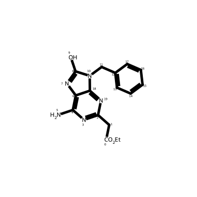 CCOC(=O)Cc1nc(N)c2nc(O)n(Cc3ccccc3)c2n1